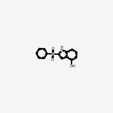 O=S(=O)(c1ccccc1)c1cc2c(O)cccc2[nH]1